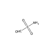 NS(=O)(=O)C=O